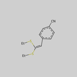 CCSC(=Cc1ccc(C#N)cc1)SCC